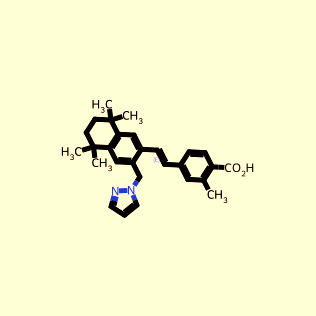 Cc1cc(/C=C/c2cc3c(cc2Cn2cccn2)C(C)(C)CCC3(C)C)ccc1C(=O)O